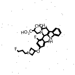 CC(CN1C(C)Cc2c([nH]c3ccccc23)C1c1c(F)cc(OC2CN(CCCF)C2)cc1F)C(=O)O